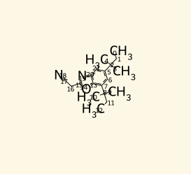 CCC(C)(C)c1cc(C(C)(C)CC)c2oc(CC#N)nc2c1